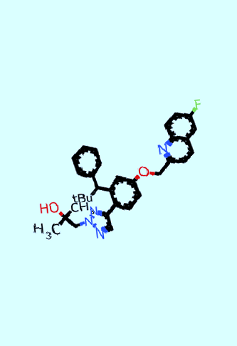 CC(C)(O)Cn1ncc(-c2ccc(OCc3ccc4cc(F)ccc4n3)cc2C(c2ccccc2)C(C)(C)C)n1